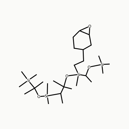 CC(C(C)(C)O[Si](C)(CCC1CCC2OC2C1)C(C)O[Si](C)(C)C)[Si](C)(C)OC(C)(C)[Si](C)(C)C